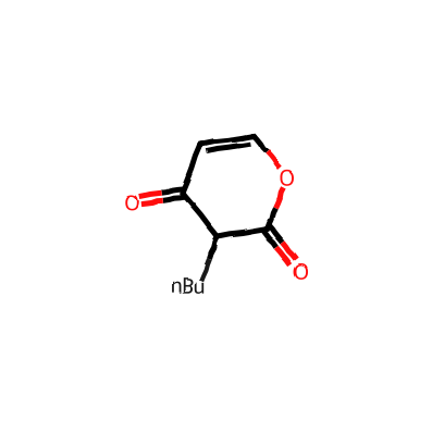 CCCCC1C(=O)C=COC1=O